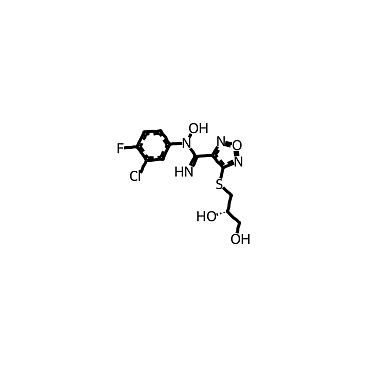 N=C(c1nonc1SC[C@@H](O)CO)N(O)c1ccc(F)c(Cl)c1